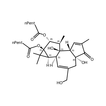 CCCCCC(=O)O[C@@H]1[C@@H](C)[C@@]2(O)[C@@H](C=C(CO)C[C@]3(O)C(=O)C(C)=C[C@@H]23)[C@H]2C(C)(C)[C@]12OC(=O)CCCCC